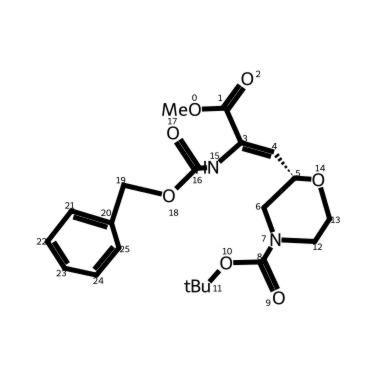 COC(=O)/C(=C/[C@H]1CN(C(=O)OC(C)(C)C)CCO1)NC(=O)OCc1ccccc1